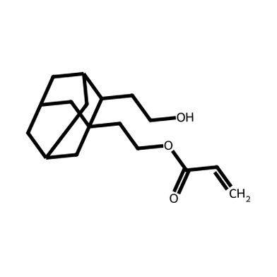 C=CC(=O)OCCC12CC3CC(CC(C3)C1CCO)C2